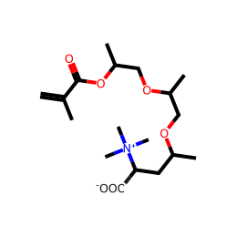 C=C(C)C(=O)OC(C)COC(C)COC(C)CC(C(=O)[O-])[N+](C)(C)C